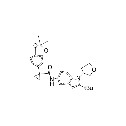 CC1(C)Oc2ccc(C3(C(=O)Nc4ccc5c(c4)cc(C(C)(C)C)n5C4CCOC4)CC3)cc2O1